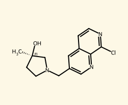 C[C@@]1(O)CCN(Cc2cnc3c(Cl)nccc3c2)C1